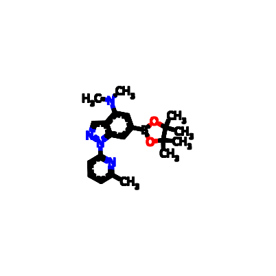 Cc1cccc(-n2ncc3c(N(C)C)cc(B4OC(C)(C)C(C)(C)O4)cc32)n1